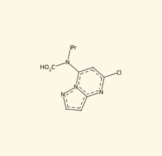 CC(C)N(C(=O)O)c1cc(Cl)nc2ccnn12